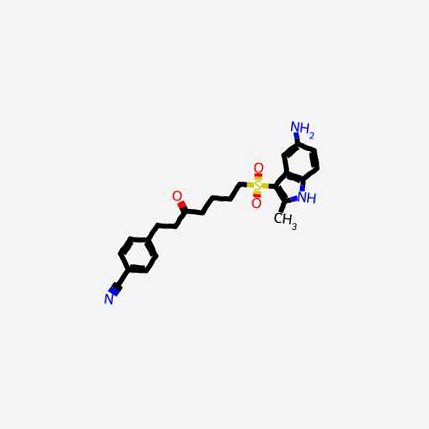 Cc1[nH]c2ccc(N)cc2c1S(=O)(=O)CCCCC(=O)CCc1ccc(C#N)cc1